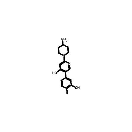 Cc1ccc(-c2cnc(N3CCC(N)CC3)cc2O)cc1O